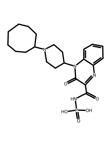 O=C(NP(=O)(O)O)c1nc2ccccc2n(C2CCN(C3CCCCCCC3)CC2)c1=O